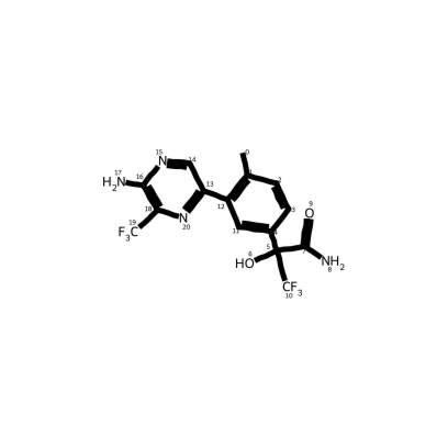 Cc1ccc(C(O)(C(N)=O)C(F)(F)F)cc1-c1cnc(N)c(C(F)(F)F)n1